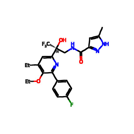 CCOc1c(CC)cc([C@@](O)(CNC(=O)c2cc(C)[nH]n2)C(F)(F)F)nc1-c1ccc(F)cc1